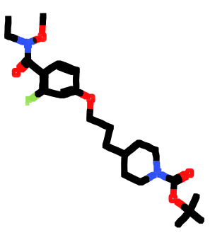 CCN(OC)C(=O)c1ccc(OCCCC2CCN(C(=O)OC(C)(C)C)CC2)cc1F